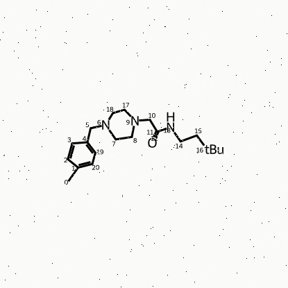 Cc1ccc(CN2CCN(CC(=O)NCCC(C)(C)C)CC2)cc1